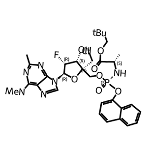 CNc1nc(C)nc2c1ncn2[C@@H]1O[C@](CCl)(CO[P@@](=O)(N[C@@H](C)C(=O)OCC(C)(C)C)Oc2cccc3ccccc23)[C@@H](O)[C@H]1F